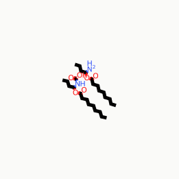 CCCCCCCCC(=O)OC(CCC)NC(=O)O.CCCCCCCCC(=O)OC(N)CCC